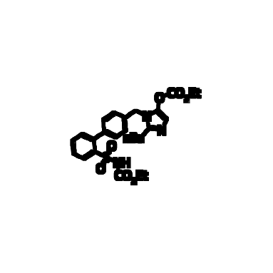 CCCCc1ncc(OC(=O)OCC)n1Cc1ccc(-c2ccccc2S(=O)(=O)NC(=O)OCC)cc1